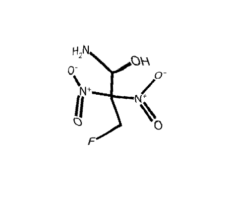 NC(O)C(CF)([N+](=O)[O-])[N+](=O)[O-]